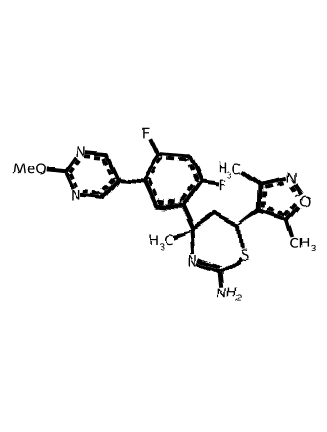 COc1ncc(-c2cc([C@]3(C)C[C@@H](c4c(C)noc4C)SC(N)=N3)c(F)cc2F)cn1